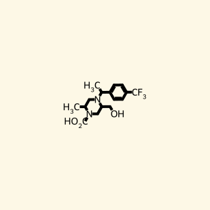 CC1CN(C(C)c2ccc(C(F)(F)F)cc2)C(CO)CN1C(=O)O